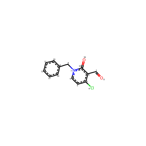 O=Cc1c(Cl)ccn(Cc2ccccc2)c1=O